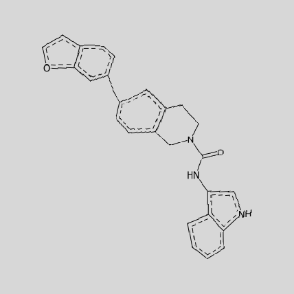 O=C(Nc1c[nH]c2ccccc12)N1CCc2cc(-c3ccc4ccoc4c3)ccc2C1